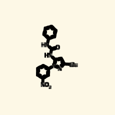 CC(C)(C)c1cc(NC(=O)Nc2ccccc2)n(-c2cccc([N+](=O)[O-])c2)n1